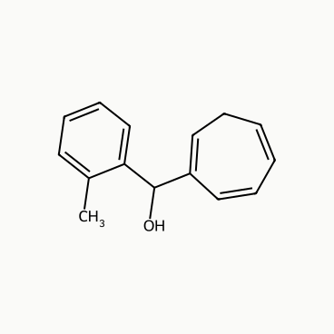 Cc1ccccc1C(O)C1=CCC=CC=C1